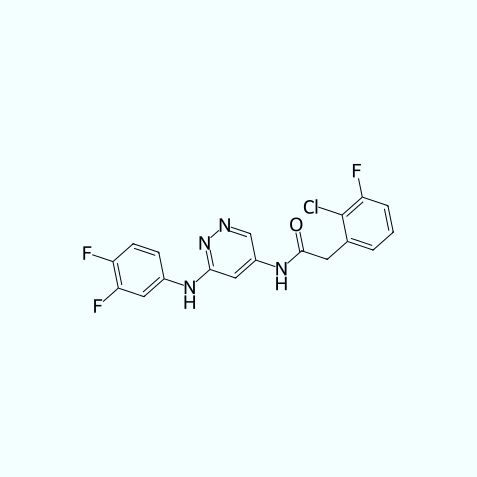 O=C(Cc1cccc(F)c1Cl)Nc1cnnc(Nc2ccc(F)c(F)c2)c1